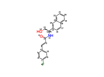 O=C(C=Cc1ccc(F)cc1)N[C@@H](CO)c1ccc2ccccc2c1